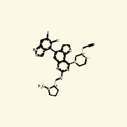 CN1CCC[C@H]1COc1nc(N2CCN[C@@H](CC#N)C2)c2c(cc(-c3c(Cl)c(F)cc4[nH]ncc34)c3ccoc32)n1